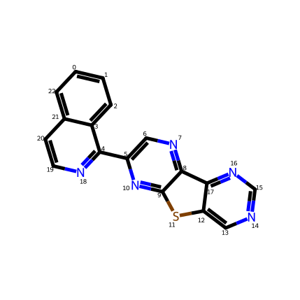 c1ccc2c(-c3cnc4c(n3)sc3cncnc34)nccc2c1